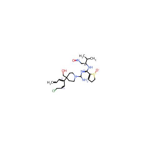 C=C/C=C(\C=C/CCl)C1(CO)CCN(C(N)/N=C(/N[C@@H](CN=O)C(C)C)C2=CCC[S+]2[O-])CC1